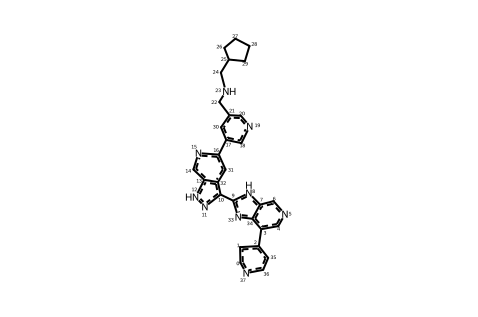 c1cc(-c2cncc3[nH]c(-c4n[nH]c5cnc(-c6cncc(CNCC7CCCC7)c6)cc45)nc23)ccn1